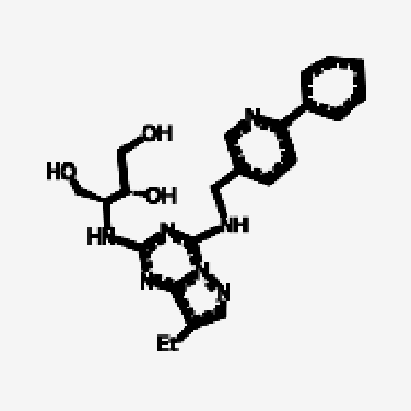 CCc1cnn2c(NCc3ccc(-c4ccccc4)nc3)nc(N[C@@H](CO)[C@@H](O)CO)nc12